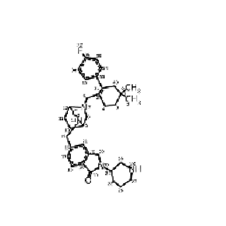 CC1(C)CCC(CN2CC3CCC2CN3Cc2ccc3c(c2)CN(C2CCCNC2)C3=O)=C(c2ccc(F)cc2)C1